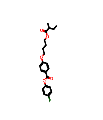 CCC(C)C(=O)OCCCCOc1ccc(C(=O)Oc2ccc(F)cc2)cc1